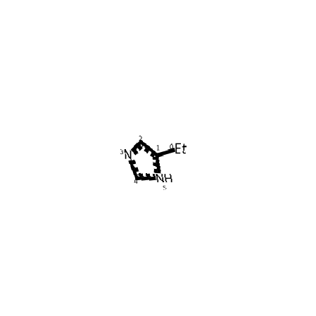 [CH2]Cc1cnc[nH]1